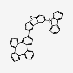 c1ccc2c(c1)-c1ccccc1-c1ccc(-c3ccc4sc5ccc(-n6c7ccccc7c7ccccc76)cc5c4c3)cc1-c1ccccc1-2